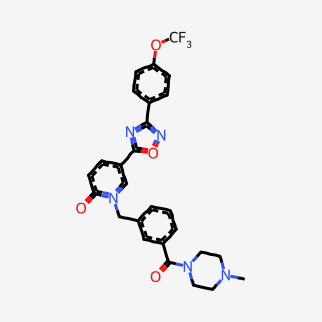 CN1CCN(C(=O)c2cccc(Cn3cc(-c4nc(-c5ccc(OC(F)(F)F)cc5)no4)ccc3=O)c2)CC1